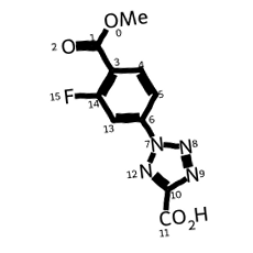 COC(=O)c1ccc(-n2nnc(C(=O)O)n2)cc1F